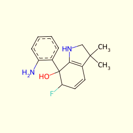 CC1(C)CNC2=C1C=CC(F)C2(O)c1ccccc1N